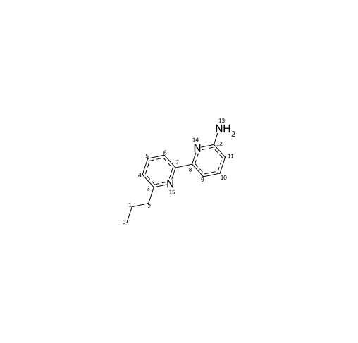 CCCc1cccc(-c2cccc(N)n2)n1